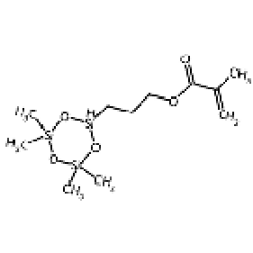 C=C(C)C(=O)OCCC[SiH]1O[Si](C)(C)O[Si](C)(C)O1